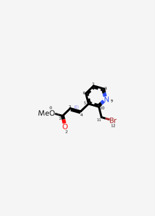 COC(=O)/C=C/c1cccnc1CBr